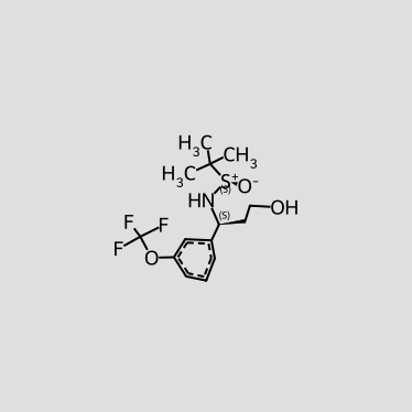 CC(C)(C)[S@@+]([O-])N[C@@H](CCO)c1cccc(OC(F)(F)F)c1